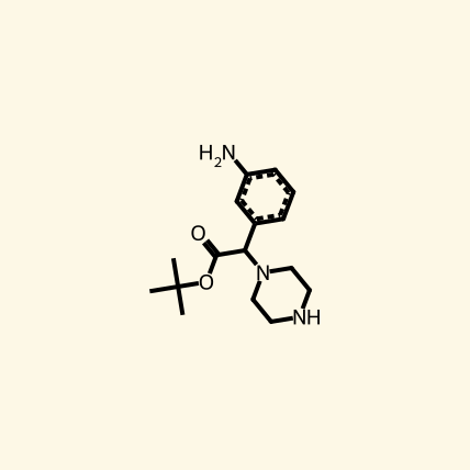 CC(C)(C)OC(=O)C(c1cccc(N)c1)N1CCNCC1